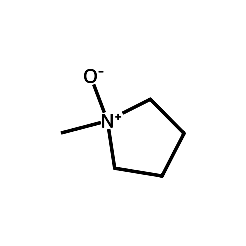 C[N+]1([O-])CCCC1